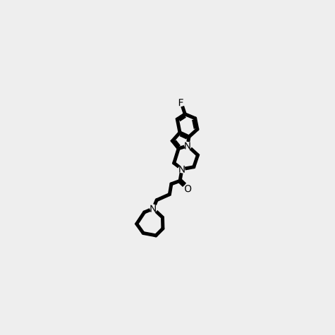 O=C(CCCN1CCCCCC1)N1CCn2c(cc3cc(F)ccc32)C1